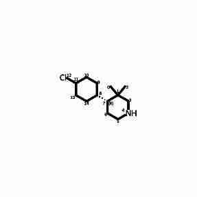 CC1(C)CNCC[C@@H]1C1CCC(Cl)CC1